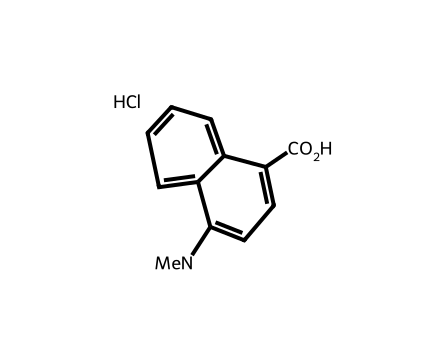 CNc1ccc(C(=O)O)c2ccccc12.Cl